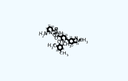 Cc1cc(C)c(Oc2nc(-c3ccc4cn(C)nc4c3)ccc2C(=O)NS(=O)(=O)c2cccc(N)n2)c(C)c1